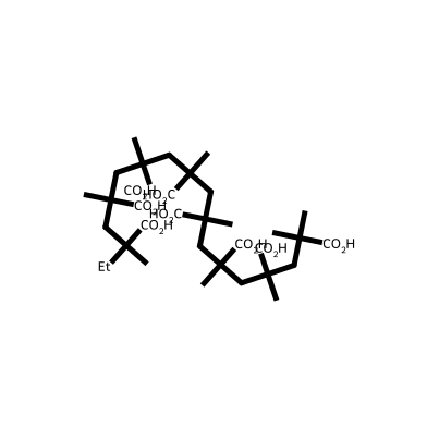 CCC(C)(CC(C)(CC(C)(CC(C)(CC(C)(CC(C)(CC(C)(CC(C)(C)C(=O)O)C(=O)O)C(=O)O)C(=O)O)C(=O)O)C(=O)O)C(=O)O)C(=O)O